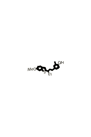 CCC(CCc1ccc(O)c(C)c1)c1cc2ccc(OC)cc2s1